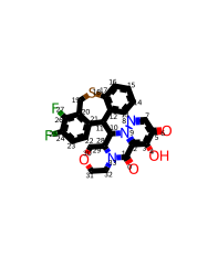 O=C1c2c(O)c(=O)cnn2C(C2c3ccccc3SCc3c2ccc(F)c3F)C2COCCN12